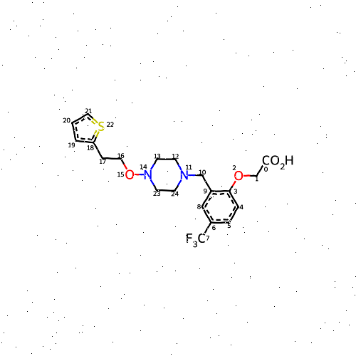 O=C(O)COc1ccc(C(F)(F)F)cc1CN1CCN(OCCc2cccs2)CC1